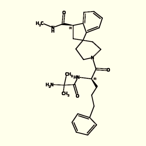 CNC(=O)[C@@H]1CC2(CCN(C(=O)[C@@H](CCCc3ccccc3)NC(=O)C(C)(C)N)CC2)c2ccccc21